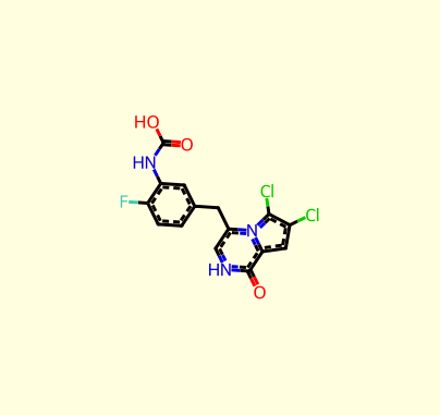 O=C(O)Nc1cc(Cc2c[nH]c(=O)c3cc(Cl)c(Cl)n23)ccc1F